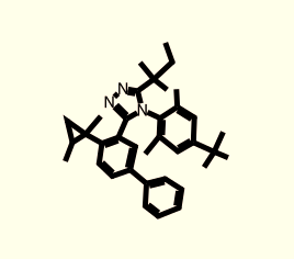 CCC(C)(C)c1nnc(-c2cc(-c3ccccc3)ccc2C2(C)CC2C)n1-c1c(C)cc(C(C)(C)C)cc1C